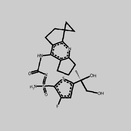 C[C@](O)(CO)c1cc(F)c(S(N)(=O)=NC(=O)Nc2c3c(nc4c2CCC42CC2)CCC3)s1